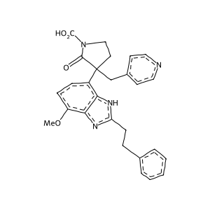 COc1ccc(C2(Cc3ccncc3)CCN(C(=O)O)C2=O)c2[nH]c(CCc3ccccc3)nc12